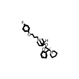 C[C@@](C(=O)O[C@H]1C[N+]2(CCCOc3ccc(F)cc3)CCC1CC2)(c1ccccc1)N1CCCCC1